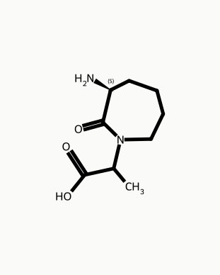 CC(C(=O)O)N1CCCC[C@H](N)C1=O